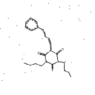 CCCCN1C(=O)C(=C=CC=Nc2ccccc2)C(=O)N(CCCC)C1=S